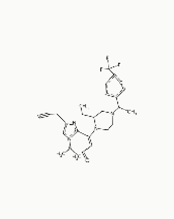 CCC1CN(C(C)c2ccc(C(F)(F)F)cc2)CCN1/C(=C/C=O)c1nc(CC#N)cn1N(C)C